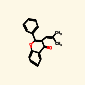 CC(C)=Cc1c(-c2ccccc2)oc2ccccc2c1=O